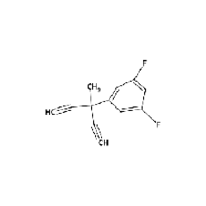 C#CC(C)(C#C)c1cc(F)cc(F)c1